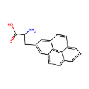 NC(Cc1cc2ccc3cccc4ccc(c1)c2c34)C(=O)O